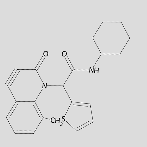 Cc1cccc2c#cc(=O)n(C(C(=O)NC3CCCCC3)c3cccs3)c12